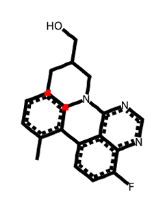 Cc1ccccc1-c1ccc(F)c2ncnc(N3CCCC(CO)C3)c12